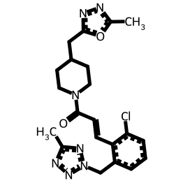 Cc1nnn(Cc2cccc(Cl)c2C=CC(=O)N2CCC(Cc3nnc(C)o3)CC2)n1